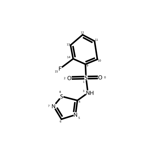 O=S(=O)(Nc1ncns1)c1ccccc1F